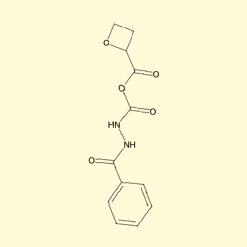 O=C(NNC(=O)c1ccccc1)OC(=O)C1CCO1